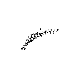 CCCCCCCCCCCCNC(=O)OC1CCC23CC24CCC2(C)C(CCCCC(C)C)CCC2C4CC=C3C1